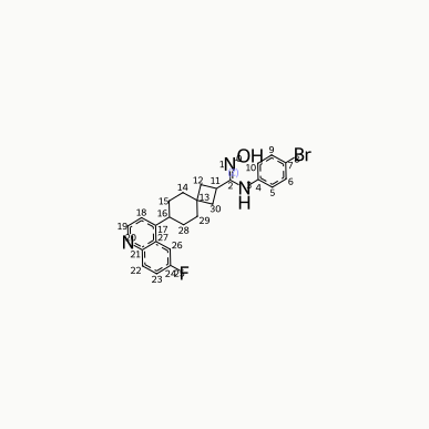 O/N=C(\Nc1ccc(Br)cc1)C1CC2(CCC(c3ccnc4ccc(F)cc34)CC2)C1